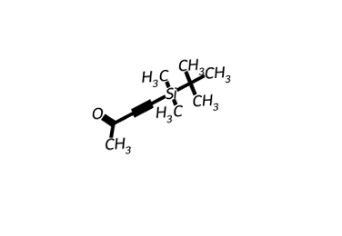 CC(=O)C#C[Si](C)(C)C(C)(C)C